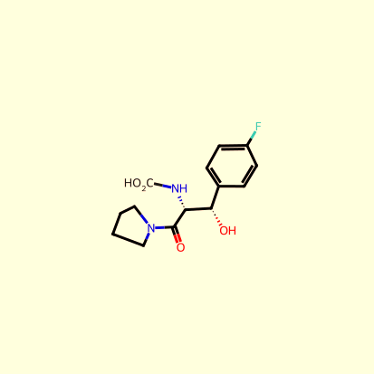 O=C(O)N[C@@H](C(=O)N1CCCC1)[C@@H](O)c1ccc(F)cc1